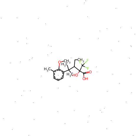 CCC(C(C)(C)c1cccc(C)c1OC)C(O)(C(=O)O)C(F)(F)F